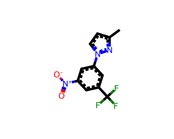 Cc1ccn(-c2cc([N+](=O)[O-])cc(C(F)(F)F)c2)n1